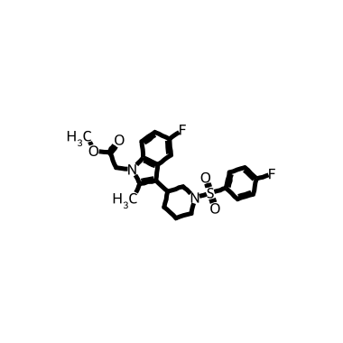 COC(=O)Cn1c(C)c(C2CCCN(S(=O)(=O)c3ccc(F)cc3)C2)c2cc(F)ccc21